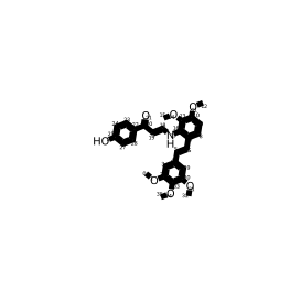 COc1cc(C=Cc2ccc(OC)c(OC)c2NC=CC(=O)c2ccc(O)cc2)cc(OC)c1OC